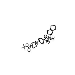 CC(C)(C)OC(=O)N1CCN(c2ccc(S(=O)(=O)Nc3ccc4c(c3)CCCC4)cc2)CC1